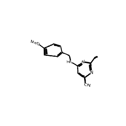 COc1ccc(CNc2cc(C#N)nc(C)n2)cc1